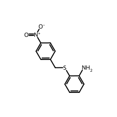 Nc1ccccc1SCc1ccc([N+](=O)[O-])cc1